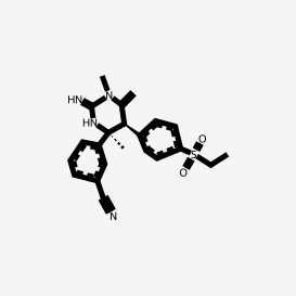 C=C1[C@@H](c2ccc(S(=O)(=O)CC)cc2)[C@@](C)(c2cccc(C#N)c2)NC(=N)N1C